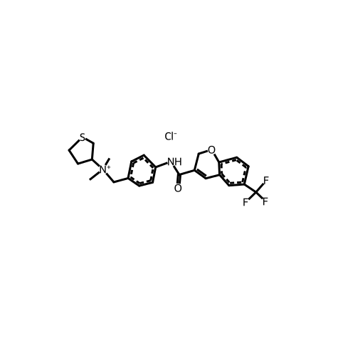 C[N+](C)(Cc1ccc(NC(=O)C2=Cc3cc(C(F)(F)F)ccc3OC2)cc1)C1CCSC1.[Cl-]